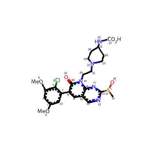 COc1cc(OC)c(Cl)c(-c2cc3cnc([S+](C)[O-])nc3n(CCN3CCC(NC(=O)O)CC3)c2=O)c1